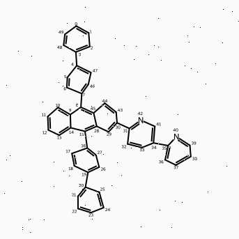 c1ccc(-c2ccc(-c3c4ccccc4c(-c4ccc(-c5ccccc5)cc4)c4cc(-c5ccc(-c6ccccn6)cn5)ccc34)cc2)cc1